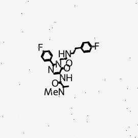 CNC(C)C(=O)Nc1cnc(-c2ccc(F)cc2)n(CC(=O)NCCc2ccc(F)cc2)c1=O